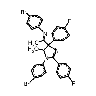 C/C(=N\c1ccc(Br)cc1)C1(c2ccc(F)cc2)N=C(c2ccc(F)cc2)N(c2ccc(Br)cc2)C1C